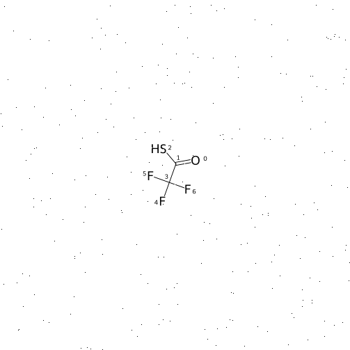 O=C(S)C(F)(F)F